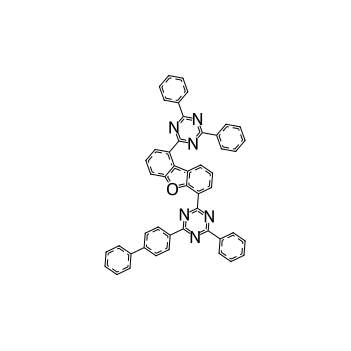 c1ccc(-c2ccc(-c3nc(-c4ccccc4)nc(-c4cccc5c4oc4cccc(-c6nc(-c7ccccc7)nc(-c7ccccc7)n6)c45)n3)cc2)cc1